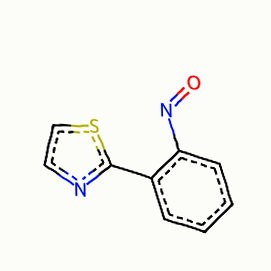 O=Nc1ccccc1-c1nccs1